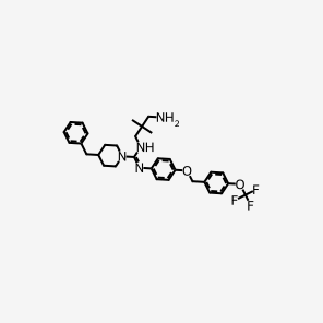 CC(C)(CN)CN/C(=N\c1ccc(OCc2ccc(OC(F)(F)F)cc2)cc1)N1CCC(Cc2ccccc2)CC1